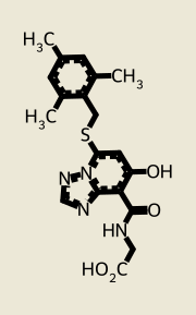 Cc1cc(C)c(CSc2cc(O)c(C(=O)NCC(=O)O)c3ncnn23)c(C)c1